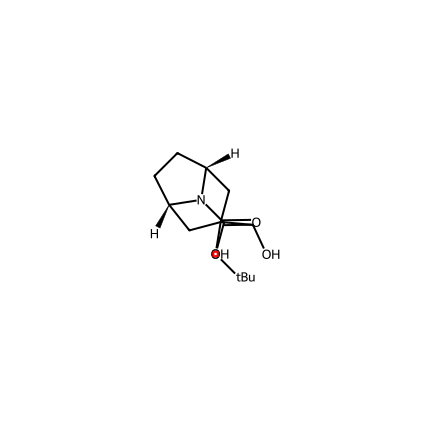 CC(C)(C)OC(=O)N1[C@@H]2CC[C@H]1CC(O)(CO)C2